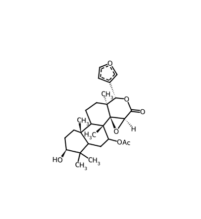 CC(=O)OC1CC2C(C)(C)[C@@H](O)CC[C@]2(C)C2CC[C@@]3(C)[C@H](c4ccoc4)OC(=O)[C@H]4O[C@]43[C@]12C